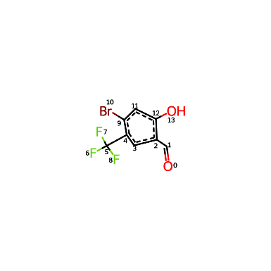 O=Cc1cc(C(F)(F)F)c(Br)cc1O